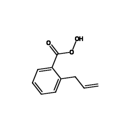 C=CCc1ccccc1C(=O)OO